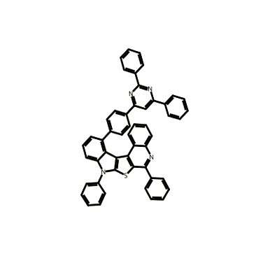 c1ccc(-c2cc(-c3ccc(-c4cccc5c4c4c6c(sc4n5-c4ccccc4)c(-c4ccccc4)nc4ccccc46)cc3)nc(-c3ccccc3)n2)cc1